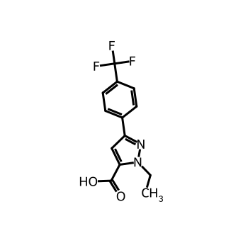 CCn1nc(-c2ccc(C(F)(F)F)cc2)cc1C(=O)O